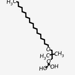 CCCCCCCCCCCCCCCCCCOCC(C)(C)COP(O)O